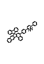 c1ccc(-c2ccc(-c3ccc(-c4cc5c(c6ccccc46)-c4cc6ccccc6cc4C54c5ccccc5-c5ccccc54)cc3)nn2)cc1